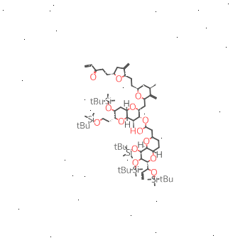 C=CC(=O)CC[C@H]1CC(=C)C(CC[C@H]2C[C@@H](C)C(=C)C(CC3O[C@H]4CC(O[Si](C)(C)C(C)(C)C)[C@@H](CCO[Si](C)(C)C(C)(C)C)O[C@H]4[C@H](C)[C@H]3OC(O)CC3CC[C@@H]4O[C@@H](C(C=C)O[Si](C)(C)C(C)(C)C)C(O[Si](C)(C)C(C)(C)C)C(O[Si](C)(C)C(C)(C)C)[C@H]4O3)O2)O1